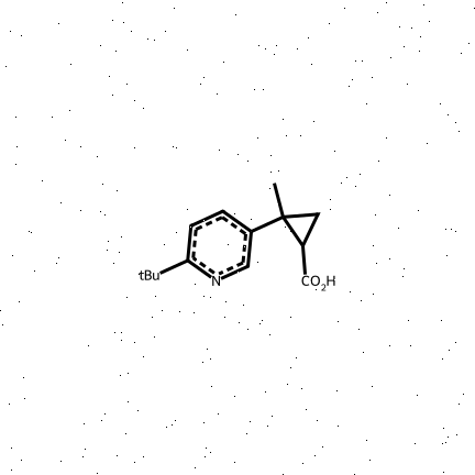 CC(C)(C)c1ccc(C2(C)CC2C(=O)O)cn1